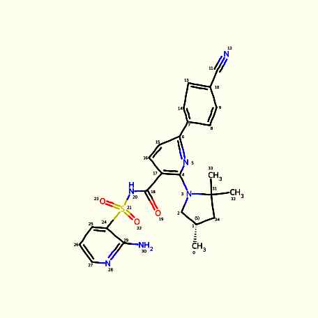 C[C@@H]1CN(c2nc(-c3ccc(C#N)cc3)ccc2C(=O)NS(=O)(=O)c2cccnc2N)C(C)(C)C1